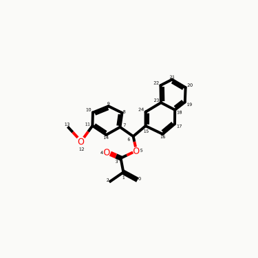 C=C(C)C(=O)OC(c1cccc(OC)c1)c1ccc2ccccc2c1